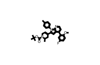 COc1ccc(F)cc1-c1ccnc2c1cc(C1=CCN(C(=O)OC(C)(C)C)C(C)C1)n2-c1ccc(C)cc1